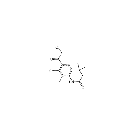 Cc1c(Cl)c(C(=O)CCl)cc2c1NC(=O)CC2(C)C